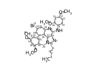 CCCCc1nc2c(Nc3ccc(OC)cc3OC)nc3cc(Br)ccc3c2n1Cc1ccc(OC)cc1OC